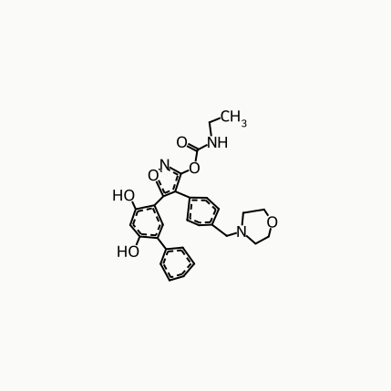 CCNC(=O)Oc1noc(-c2cc(-c3ccccc3)c(O)cc2O)c1-c1ccc(CN2CCOCC2)cc1